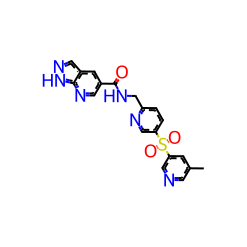 Cc1cncc(S(=O)(=O)c2ccc(CNC(=O)c3cnc4[nH]ncc4c3)nc2)c1